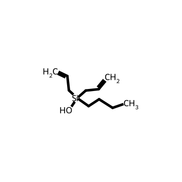 C=CC[Si](O)(CC=C)CCCC